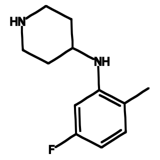 Cc1ccc(F)cc1NC1CCNCC1